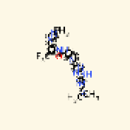 CN(C)CCn1cc(Nc2ncc(CN3CCc4ccc(C(=O)Nc5cc(CN6CCN(C)CC6)cc(C(F)(F)F)c5)cc43)cn2)cn1